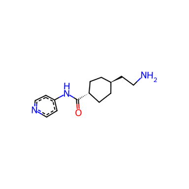 NCC[C@H]1CC[C@H](C(=O)Nc2ccncc2)CC1